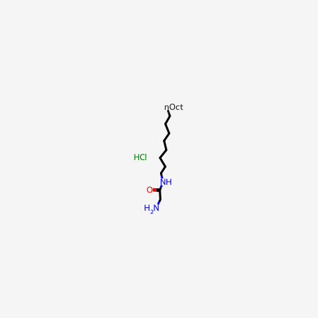 CCCCCCCCCCCCCCCCNC(=O)CN.Cl